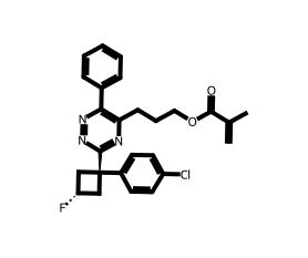 C=C(C)C(=O)OCCCc1nc([C@]2(c3ccc(Cl)cc3)C[C@@H](F)C2)nnc1-c1ccccc1